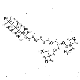 CCC1(COCC(COCCCSCCC(F)(F)C(F)(F)C(F)(F)C(F)(F)C(F)(F)C(F)(F)F)OCC2(CC)COC2)COC1